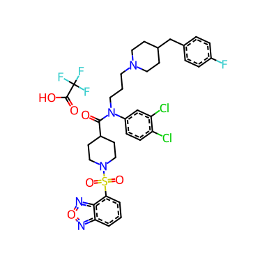 O=C(C1CCN(S(=O)(=O)c2cccc3nonc23)CC1)N(CCCN1CCC(Cc2ccc(F)cc2)CC1)c1ccc(Cl)c(Cl)c1.O=C(O)C(F)(F)F